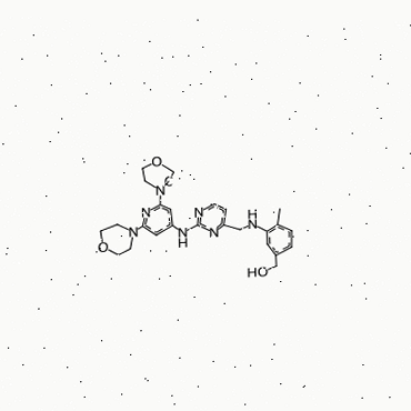 Cc1ccc(CO)cc1NCc1ccnc(Nc2cc(N3CCOCC3)nc(N3CCOCC3)c2)n1